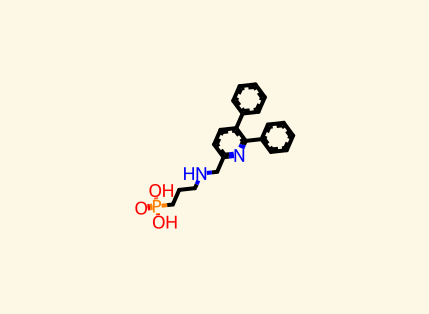 O=P(O)(O)CCCNCc1ccc(-c2ccccc2)c(-c2ccccc2)n1